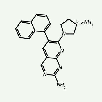 Nc1ncc2cc(-c3cccc4ccccc34)c(N3CC[C@H](N)C3)nc2n1